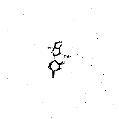 CC[C@@]1(CCl)O[C@@H](n2ccc(=O)[nH]c2=O)[C@@H](OC)[C@@H]1C